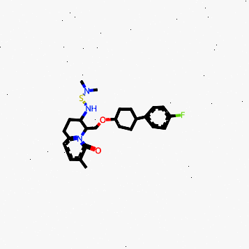 Cc1ccc2n(c1=O)C(COC1CCC(c3ccc(F)cc3)CC1)C(NSN(C)C)CC2